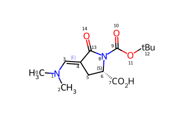 CN(C)/C=C1\C[C@@H](C(=O)O)N(C(=O)OC(C)(C)C)C1=O